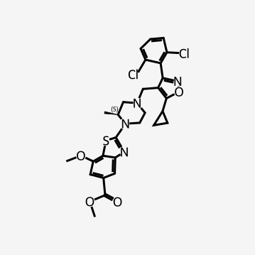 COC(=O)c1cc(OC)c2sc(N3CCN(Cc4c(-c5c(Cl)cccc5Cl)noc4C4CC4)C[C@@H]3C)nc2c1